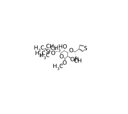 C#C[C@H](O[C@H]1[C@@H](O)[C@@H](CO[Si](C)(C)C(C)(C)C)O[C@H](OC)[C@@H]1O)c1ccsc1